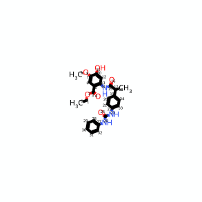 CCOC(=O)c1cc(OC)c(O)cc1NC(=O)C(C)c1ccc(NC(=O)Nc2ccccc2)cc1